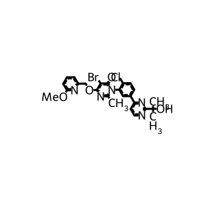 COc1cccc(COc2nc(C)n(-c3cc(-c4ccnc(C(C)(C)O)n4)ccc3Cl)c(=O)c2Br)n1